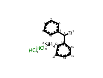 Cl.Cl.[SiH4].[Ti][CH](c1ccccc1)c1ccccc1